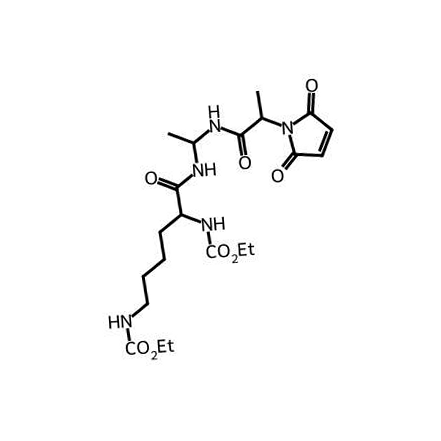 CCOC(=O)NCCCCC(NC(=O)OCC)C(=O)NC(C)NC(=O)C(C)N1C(=O)C=CC1=O